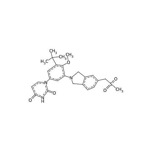 COc1c(N2Cc3ccc(CS(C)(=O)=O)cc3C2)cc(-n2ccc(=O)[nH]c2=O)cc1C(C)(C)C